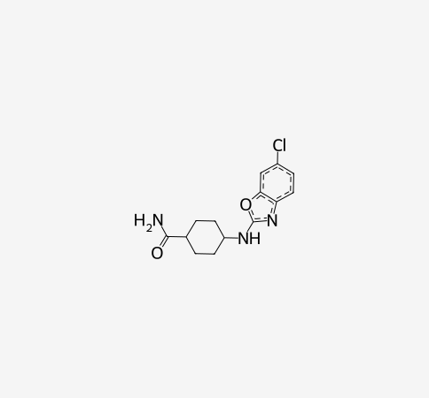 NC(=O)C1CCC(Nc2nc3ccc(Cl)cc3o2)CC1